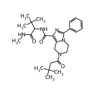 CNC(=O)C(NC(=O)c1nc(-c2ccccc2)n2c1CN(C(=O)CC(C)(C)C)CC2)C(C)(C)C